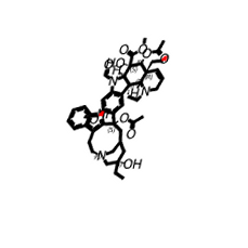 CC[C@]1(O)CC2C[N@](CCc3c([nH]c4ccccc34)[C@@](OC(C)=O)(c3cc4c(cc3OC)N(C=O)[C@H]3[C@@](O)(C(=O)OC)[C@H](OC(C)=O)[C@]5(CC)C=CCN6CC[C@]43[C@@H]65)C2)C1